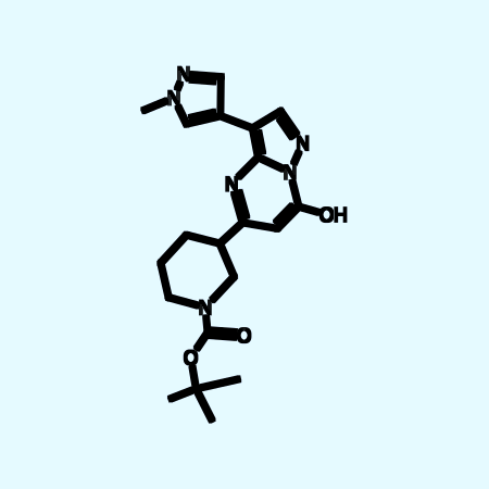 Cn1cc(-c2cnn3c(O)cc(C4CCCN(C(=O)OC(C)(C)C)C4)nc23)cn1